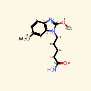 CCOc1nc2ccc(OC)cc2n1CCCCC(N)=O